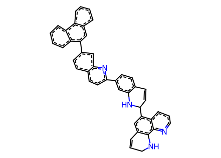 C1=Cc2cc(C3C=Cc4ccc(-c5ccc6ccc(-c7cc8ccccc8c8ccccc78)cc6n5)cc4N3)c3cccnc3c2NC1